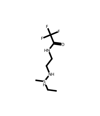 CC[SH](C)NCCNC(=O)C(F)(F)F